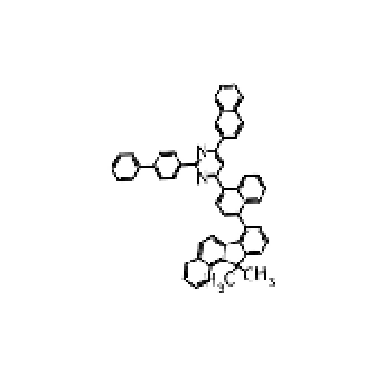 CC1(C)c2cccc(-c3ccc(-c4cc(-c5ccc6ccccc6c5)nc(-c5ccc(-c6ccccc6)cc5)n4)c4ccccc34)c2-c2ccc3ccccc3c21